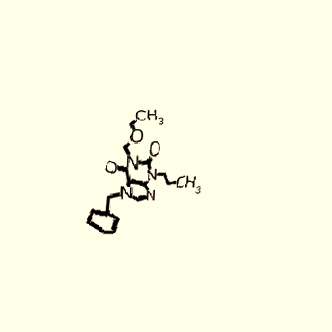 CCCn1c(=O)n(COCC)c(=O)c2c1ncn2Cc1ccccc1